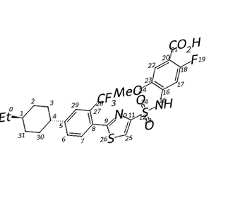 CC[C@H]1CC[C@H](c2ccc(-c3nc(S(=O)(=O)Nc4cc(F)c(C(=O)O)cc4OC)cs3)c(C(F)(F)F)c2)CC1